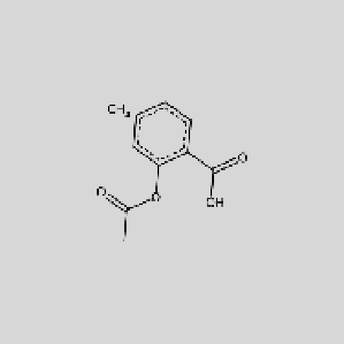 C.CC(=O)Oc1ccccc1C(=O)O